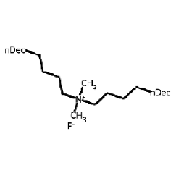 CCCCCCCCCCCCCC[N+](C)(C)CCCCCCCCCCCCCC.[F-]